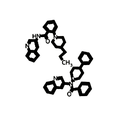 CCCC1CCN(c2ccccc2C(=O)Nc2cnc3ccccc3c2)CC1.O=C(c1ccccc1)N(c1cnc2ccccc2c1)N1CCC(c2ccccc2)CC1